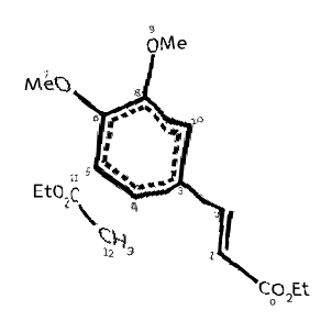 CCOC(=O)/C=C/c1ccc(OC)c(OC)c1.CCOC(C)=O